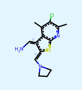 Cc1nc2sc(=C\N3CCC3)/c(=C\N)c2c(C)c1Cl